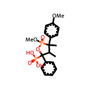 COc1ccc(C2(C)C(C)C(c3ccccc3)(P(=O)(O)O)OP2(=O)OC)cc1